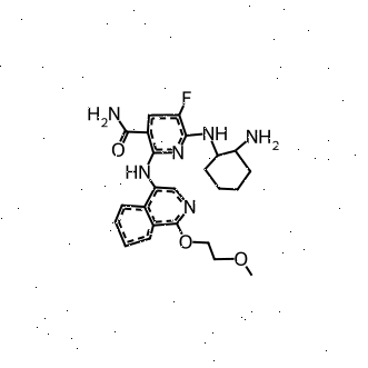 COCCOc1ncc(Nc2nc(NC3CCCCC3N)c(F)cc2C(N)=O)c2ccccc12